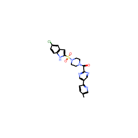 Cc1ccc(-c2cnc(C(=O)N3CCN(S(=O)(=O)c4cc5cc(Cl)ccc5[nH]4)CC3)nc2)nc1